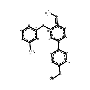 C/P=c1/ccc(-c2ccc(CN=O)nc2)nn1Cc1cccc(C)c1